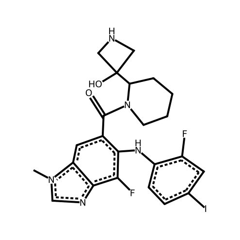 Cn1cnc2c(F)c(Nc3ccc(I)cc3F)c(C(=O)N3CCCCC3C3(O)CNC3)cc21